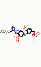 CCOC(=O)CC(NC(=O)c1cc(Oc2c(Br)cc(CP(C)(=O)O)cc2Br)ccc1O)C(C)C